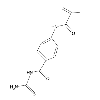 C=C(C)C(=O)Nc1ccc(C(=O)NC(N)=S)cc1